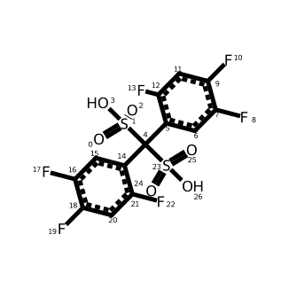 O=S(=O)(O)C(c1cc(F)c(F)cc1F)(c1cc(F)c(F)cc1F)S(=O)(=O)O